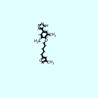 Cc1cc(CCCCCOc2c(C)cc(-c3nnn[nH]3)cc2C)on1